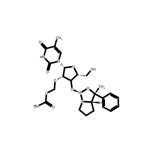 Cc1cn([C@@H]2O[C@H](CO)C(O[P@@]3O[C@](C)(c4ccccc4)[C@@H]4CCCN43)[C@@H]2OCOC(=O)C(C)(C)C)c(=O)[nH]c1=O